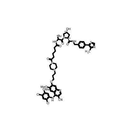 COc1cc(Nc2c(C#N)cnc3cc(OCCCN4CCN(C(=O)CCCCC(=O)NC(C(=O)N5C[C@H](O)C[C@H]5C(=O)NCc5ccc(-c6scnc6C)cc5)C(C)(C)C)CC4)c(OC)cc23)c(Cl)cc1Cl